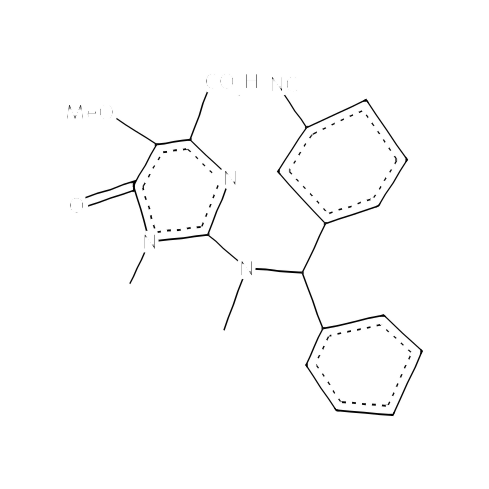 COc1c(C(=O)O)nc(N(C)C(c2ccccc2)c2cccc(C#N)c2)n(C)c1=O